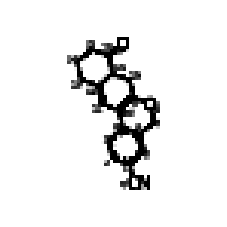 N#Cc1ccc2c(c1)COC1=C2C=C2CCCC(=O)C2C1